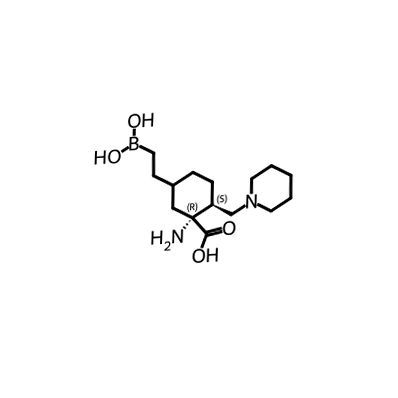 N[C@]1(C(=O)O)CC(CCB(O)O)CC[C@H]1CN1CCCCC1